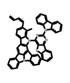 C=C/C=C\c1ccc2c3cc4c5ccccc5n5c6ccccc6c(c3n(-c3nc(-n6c7ccccc7c7ccccc76)nc6c3sc3ccccc36)c2c1C)c45